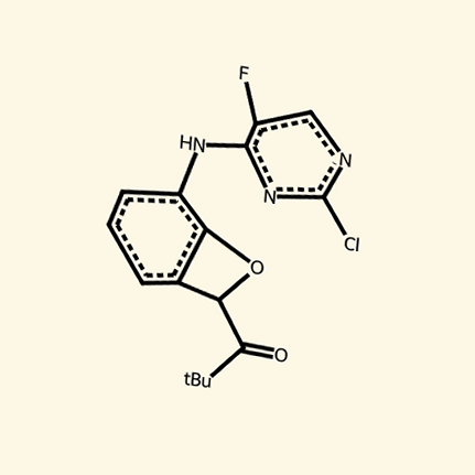 CC(C)(C)C(=O)C1Oc2c(Nc3nc(Cl)ncc3F)cccc21